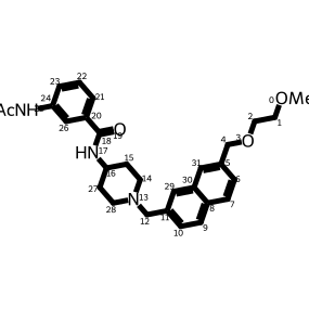 COCCOCc1ccc2ccc(CN3CCC(NC(=O)c4cccc(NC(C)=O)c4)CC3)cc2c1